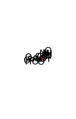 CC(C)C12OC1CC1(O)C3(C)CCC4=C(COC4=O)C3CC3OC31C2OC(=O)c1ncn2c(=O)n(C)nnc12